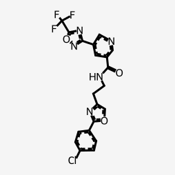 O=C(NCCc1coc(-c2ccc(Cl)cc2)n1)c1cncc(-c2noc(C(F)(F)F)n2)c1